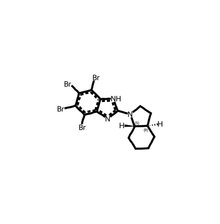 Brc1c(Br)c(Br)c2[nH]c(N3CC[C@H]4CCCC[C@@H]43)nc2c1Br